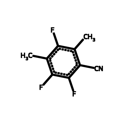 Cc1c(F)c(C)c(C#N)c(F)c1F